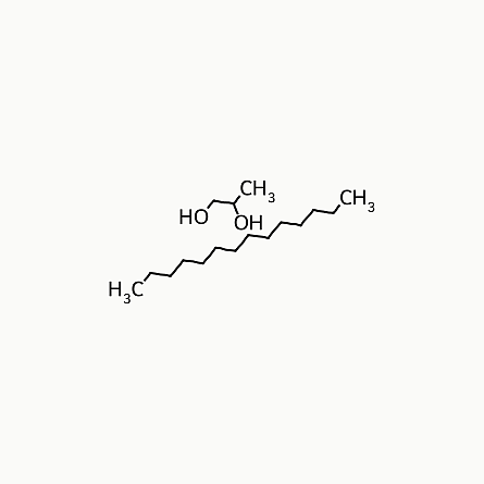 CC(O)CO.CCCCCCCCCCCCCC